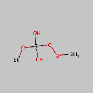 CCO[Si](O)(O)OO[SiH3]